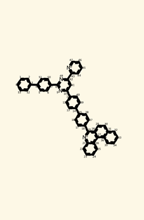 c1ccc(-c2ccc(-c3nc(-c4ccc(-c5ccc(-c6nc7ccccc7c7c6ccc6ccccc67)cc5)cc4)cc(-c4ccccn4)n3)cc2)cc1